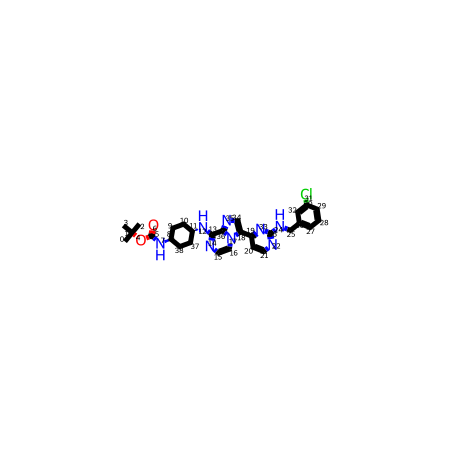 CC(C)(C)OC(=O)N[C@H]1CC[C@H](Nc2nccn3c(-c4ccnc(NCc5cccc(Cl)c5)n4)cnc23)CC1